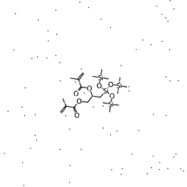 C=C(C)C(=O)OCC(C[Si](O[Si](C)(C)C)(O[Si](C)(C)C)O[Si](C)(C)C)OC(=O)C(=C)C